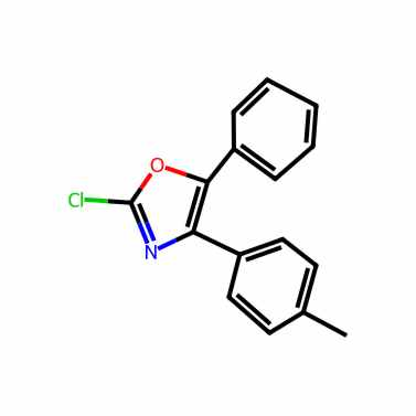 Cc1ccc(-c2nc(Cl)oc2-c2ccccc2)cc1